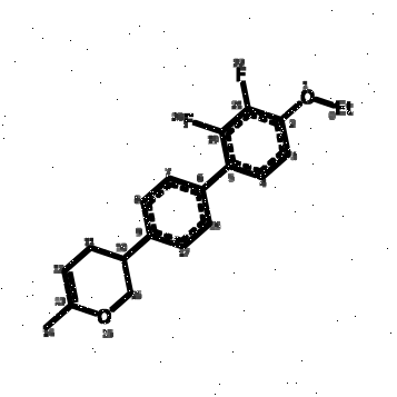 CCOc1ccc(-c2ccc(C3CC=C(C)OC3)cc2)c(F)c1F